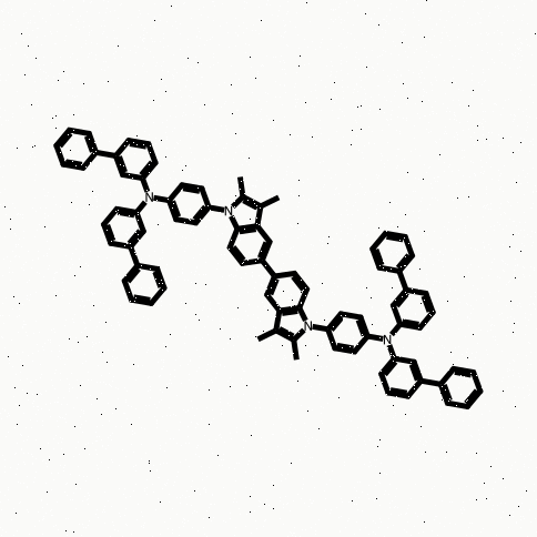 Cc1c(C)n(-c2ccc(N(c3cccc(-c4ccccc4)c3)c3cccc(-c4ccccc4)c3)cc2)c2ccc(-c3ccc4c(c3)c(C)c(C)n4-c3ccc(N(c4cccc(-c5ccccc5)c4)c4cccc(-c5ccccc5)c4)cc3)cc12